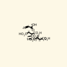 CC(=O)O.CC(=O)O.N#CC(=O)O.O.O=C(O)CCC(=O)O.O=C(O)CCC(=O)O